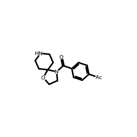 CC(=O)c1ccc(C(=O)N2CCOC23CCNCC3)cc1